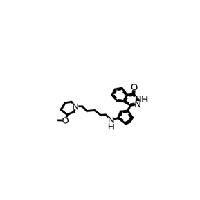 COC1CCCN(CCCCCNc2cccc(-c3n[nH]c(=O)c4ccccc34)c2)C1